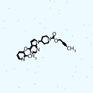 CC#CCOC(=O)N1CCC(n2ccc3c(Oc4cccnc4C)ncnc32)CC1